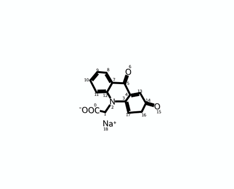 O=C([O-])Cn1c2c(c(=O)c3ccccc31)=CC(=O)CC=2.[Na+]